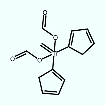 [CH2]=[Ti]([O]C=O)([O]C=O)([C]1=CC=CC1)[C]1=CC=CC1